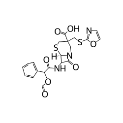 O=COC(C(=O)NC1C(=O)N2CC(CSc3ncco3)(C(=O)O)CS[C@H]12)c1ccccc1